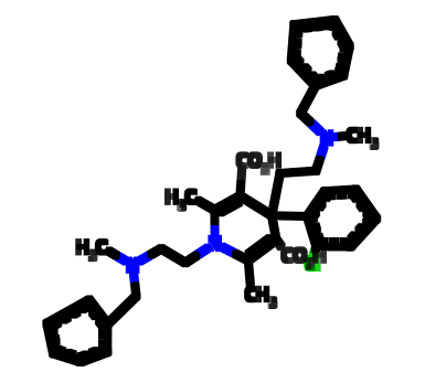 CC1=C(C(=O)O)C(CCN(C)Cc2ccccc2)(c2ccccc2Cl)C(C(=O)O)=C(C)N1CCN(C)Cc1ccccc1